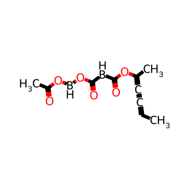 CC=C=C=C(C)OC(=O)BC(=O)OBOC(C)=O